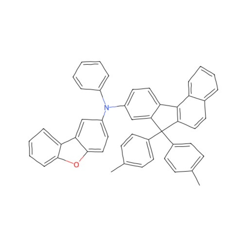 Cc1ccc(C2(c3ccc(C)cc3)c3cc(N(c4ccccc4)c4ccc5oc6ccccc6c5c4)ccc3-c3c2ccc2ccccc32)cc1